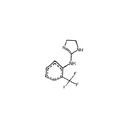 FC(F)(F)c1ccccc1NC1=NCCN1